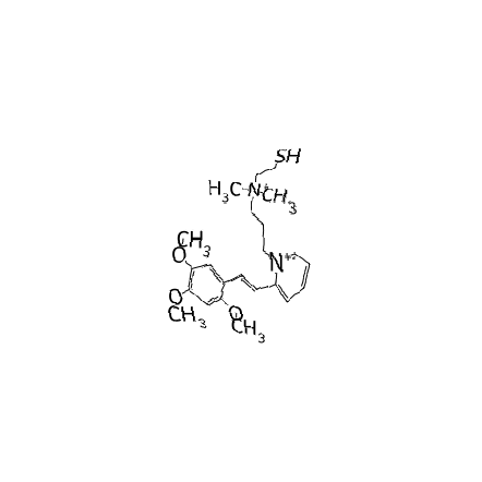 COc1cc(OC)c(OC)cc1/C=C/c1cccc[n+]1CCC[N+](C)(C)CCS